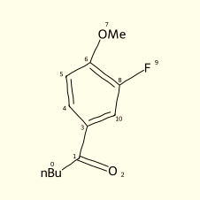 CCCCC(=O)c1ccc(OC)c(F)c1